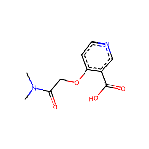 CN(C)C(=O)COc1ccncc1C(=O)O